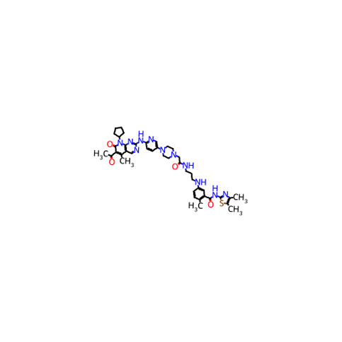 CC(=O)c1c(C)c2cnc(Nc3ccc(N4CCN(CC(=O)NCCCNc5ccc(C)c(C(=O)Nc6nc(C)c(C)s6)c5)CC4)cn3)nc2n(C2CCCC2)c1=O